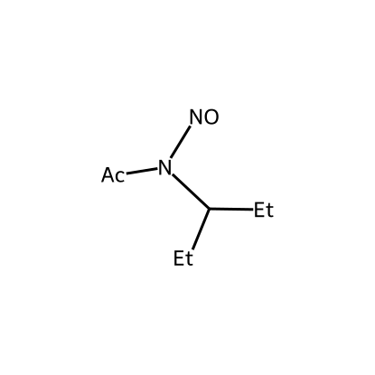 CCC(CC)N(N=O)C(C)=O